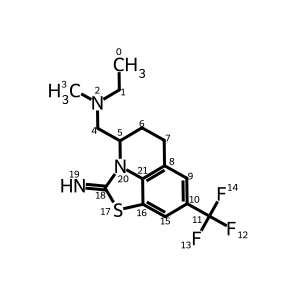 CCN(C)CC1CCc2cc(C(F)(F)F)cc3sc(=N)n1c23